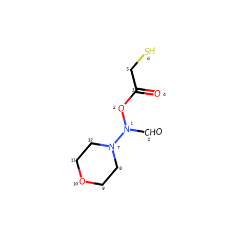 O=CN(OC(=O)CS)N1CCOCC1